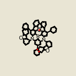 c1ccc(-c2cc3c4c(c2)N(c2cccc5oc6ccccc6c25)c2cc(-c5ccccc5)c5c(oc6ccccc65)c2B4c2c(cc(-c4ccccc4)c4c2oc2ccccc24)N3c2cccc3oc4ccccc4c23)cc1